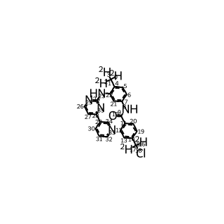 [2H]C([2H])([2H])c1ccc(NC(=O)c2ccc(C([2H])([2H])Cl)cc2)cc1Nc1nccc(-c2cccnc2)n1